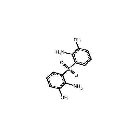 Nc1c(O)cccc1S(=O)(=O)c1cccc(O)c1N